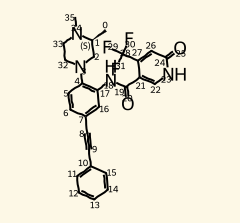 C[C@H]1CN(c2ccc(C#Cc3ccccc3)cc2NC(=O)c2c[nH]c(=O)cc2C(F)(F)F)CCN1C